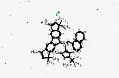 CC1=CC(C)(C)c2cc3c(cc21)-c1cc2c(cc1[CH]3/[Zr+2](=[CH]/c1cccc3ccccc13)[C]1=C(C)C(C(C)(C)C)=CC1C)C(C)(C)C=C2C.[Cl-].[Cl-]